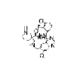 COc1cc2ncnc(Nc3cccc(Cl)c3F)c2cc1CN(C)CC1(C(N)=O)CCCNC1